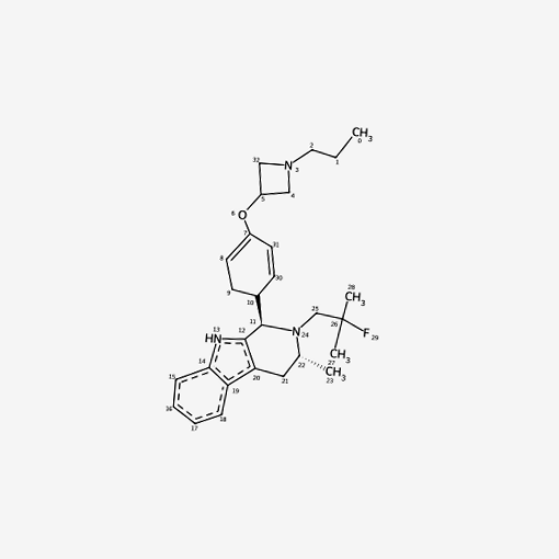 CCCN1CC(OC2=CCC([C@@H]3c4[nH]c5ccccc5c4C[C@@H](C)N3CC(C)(C)F)C=C2)C1